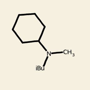 CCC(C)N(C)C1CCCCC1